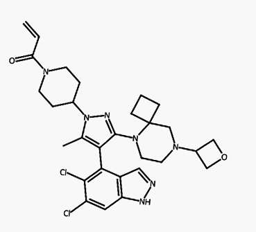 C=CC(=O)N1CCC(n2nc(N3CCN(C4COC4)CC34CCC4)c(-c3c(Cl)c(Cl)cc4[nH]ncc34)c2C)CC1